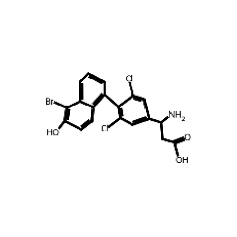 NC(CC(=O)O)c1cc(Cl)c(-c2cccc3c(Br)c(O)ccc23)c(Cl)c1